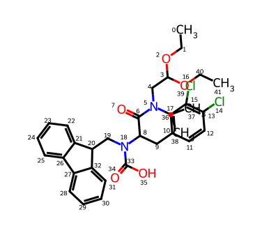 CCOC(CN(C(=O)C(Cc1ccc(Cl)c(Cl)c1)N(CC1c2ccccc2-c2ccccc21)C(=O)O)C(C)C)OCC